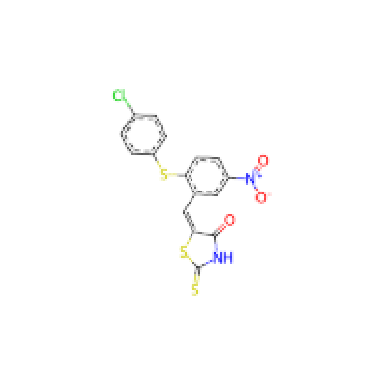 O=C1NC(=S)S/C1=C/c1cc([N+](=O)[O-])ccc1Sc1ccc(Cl)cc1